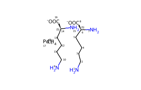 C.NCCCC[C@H](N)C(=O)[O-].NCCCC[C@H](N)C(=O)[O-].[Pd+2]